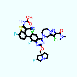 CN(C)C(=O)c1nn2c(c1Cl)CN(c1nc(OC[C@@]34CCCN3C[C@H](F)C4)nc3c(F)c(-c4ccc(F)c5sc(NC(=O)O)c(C#N)c45)c(Cl)cc13)CCC2